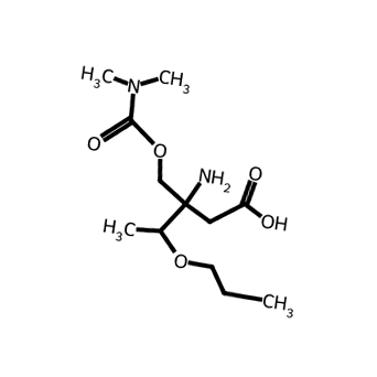 CCCOC(C)C(N)(COC(=O)N(C)C)CC(=O)O